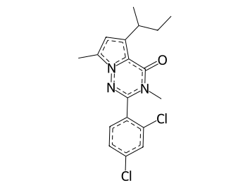 CCC(C)c1cc(C)n2nc(-c3ccc(Cl)cc3Cl)n(C)c(=O)c12